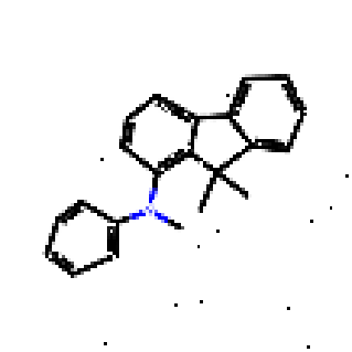 CN(c1ccccc1)c1cccc2c1C(C)(C)c1ccccc1-2